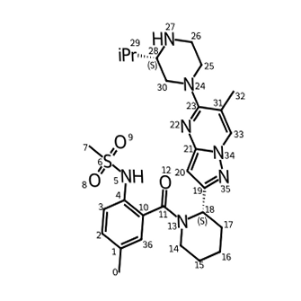 Cc1ccc(NS(C)(=O)=O)c(C(=O)N2CCCC[C@H]2c2cc3nc(N4CCN[C@@H](C(C)C)C4)c(C)cn3n2)c1